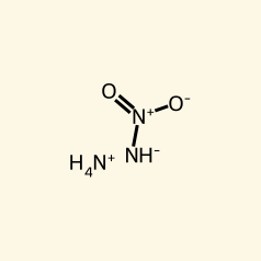 [NH-][N+](=O)[O-].[NH4+]